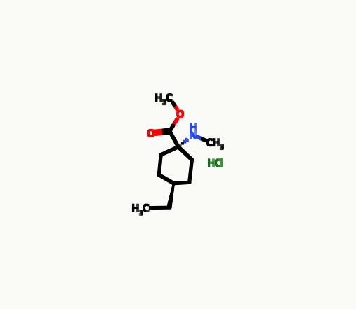 CC[C@H]1CC[C@@](NC)(C(=O)OC)CC1.Cl